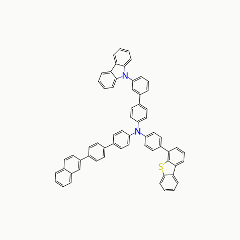 c1cc(-c2ccc(N(c3ccc(-c4ccc(-c5ccc6ccccc6c5)cc4)cc3)c3ccc(-c4cccc5c4sc4ccccc45)cc3)cc2)cc(-n2c3ccccc3c3ccccc32)c1